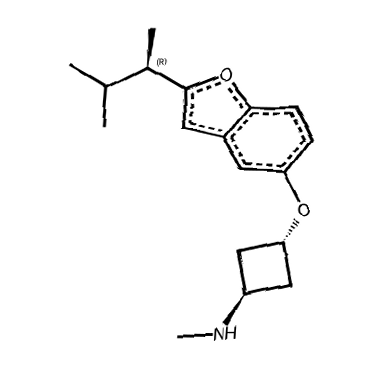 CN[C@H]1C[C@H](Oc2ccc3oc([C@H](C)C(C)C)cc3c2)C1